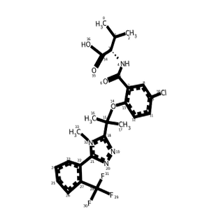 CC(C)[C@H](NC(=O)c1cc(Cl)ccc1OC(C)(C)c1nnc(-c2ccccc2C(F)(F)F)n1C)C(=O)O